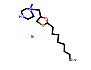 CCCCCCCCCCCCCCCCCC1OC(C[N+]2(C)CCNCC2)CS1.[Br-]